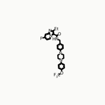 CCc1nc2cc(F)ccn2c1C(=O)NCc1ccc(N2CCN(c3ccc(OC(F)(F)F)cc3)CC2)cc1